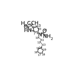 CC1(C)C(=O)Nc2cc(N(CCCCc3ccccc3)C(N)=O)ccc21